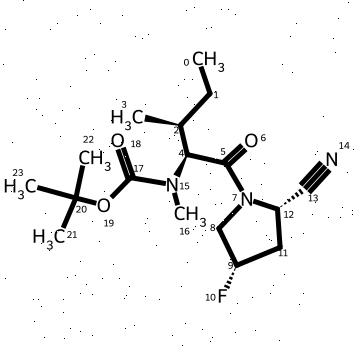 CC[C@H](C)[C@@H](C(=O)N1C[C@@H](F)C[C@H]1C#N)N(C)C(=O)OC(C)(C)C